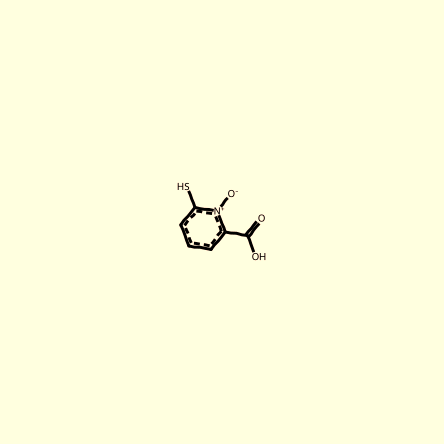 O=C(O)c1cccc(S)[n+]1[O-]